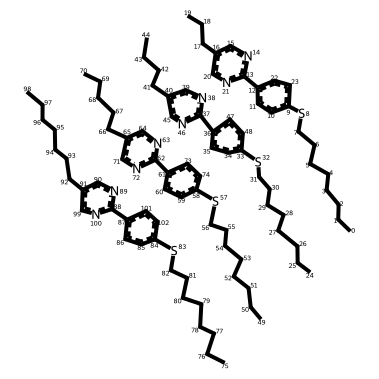 CCCCCCCCSc1ccc(-c2ncc(CCC)cn2)cc1.CCCCCCCCSc1ccc(-c2ncc(CCCC)cn2)cc1.CCCCCCCCSc1ccc(-c2ncc(CCCCC)cn2)cc1.CCCCCCCCSc1ccc(-c2ncc(CCCCCCC)cn2)cc1